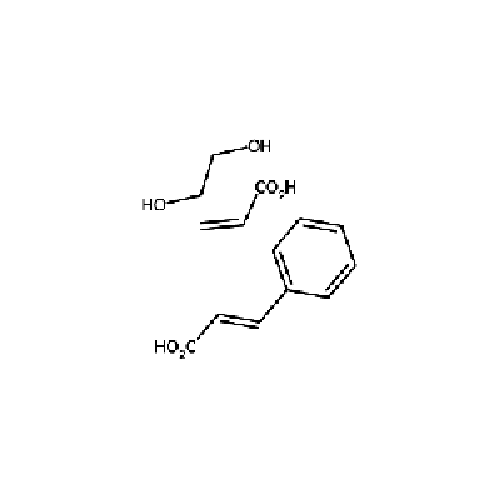 C=CC(=O)O.O=C(O)C=Cc1ccccc1.OCCO